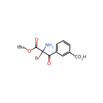 CC(C)(C)OC(=O)C(N)(Br)C(=O)c1cccc(C(=O)O)c1